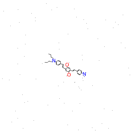 CCCCN(CCCC)c1ccc(/C=C/c2cc(OC)c(/C=C/c3ccc(N(C)C)cc3)cc2OC)cc1